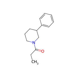 CCC(=O)N1CCCC(c2ccccc2)C1